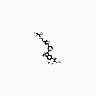 CC(C)Nc1ccc2[nH]nc(-c3nccc(-n4cc(CCOC(=O)C(F)(F)F)cn4)n3)c2c1